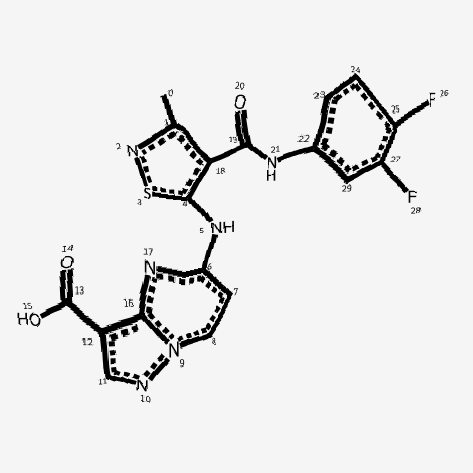 Cc1nsc(Nc2ccn3ncc(C(=O)O)c3n2)c1C(=O)Nc1ccc(F)c(F)c1